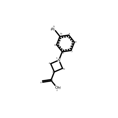 C=C(O)C1CN(c2cccc(C(C)C)c2)C1